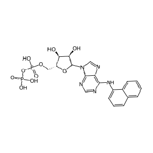 O=P(O)(O)OP(=O)(O)OC[C@H]1OC(n2cnc3c(Nc4cccc5ccccc45)ncnc32)[C@H](O)[C@@H]1O